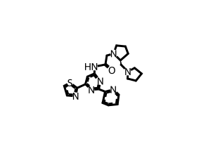 O=C(CN1CCC[C@H]1CN1CCCC1)Nc1cc(-c2nccs2)nc(-c2ccccn2)n1